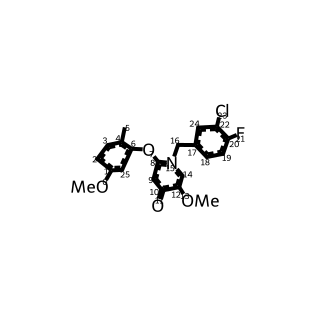 COc1ccc(C)c(Oc2cc(=O)c(OC)cn2Cc2ccc(F)c(Cl)c2)c1